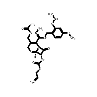 C=CCOC(=O)N[C@@H]1C(=O)N2C(/C(=N/N)NCc3ccc(OC)cc3ONC)=C(COC(C)=O)CS[C@H]12